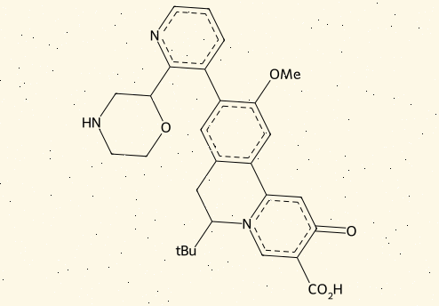 COc1cc2c(cc1-c1cccnc1C1CNCCO1)CC(C(C)(C)C)n1cc(C(=O)O)c(=O)cc1-2